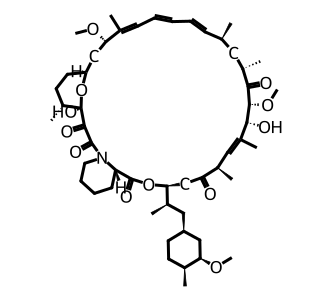 CO[C@H]1C[C@@H]2CC[C@@H](C)[C@@](O)(O2)C(=O)C(=O)N2CCCC[C@H]2C(=O)O[C@H]([C@H](C)C[C@@H]2CC[C@H](C)[C@H](OC)C2)CC(=O)[C@H](C)/C=C(\C)[C@@H](O)[C@@H](OC)C(=O)[C@@H](C)C[C@H](C)/C=C/C=C/C=C/1C